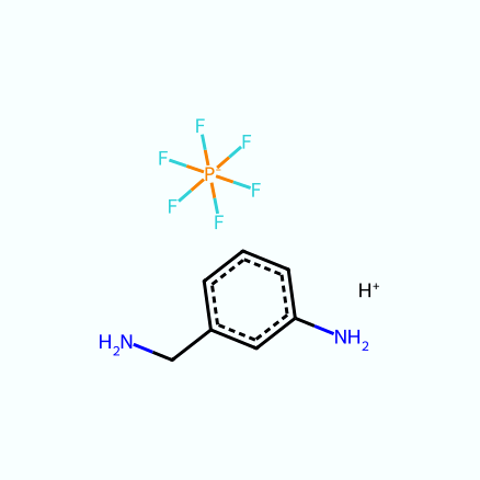 F[P-](F)(F)(F)(F)F.NCc1cccc(N)c1.[H+]